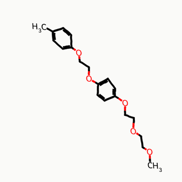 COCCOCCOc1ccc(OCCOc2ccc(C)cc2)cc1